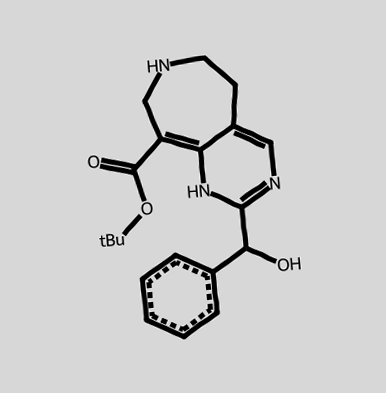 CC(C)(C)OC(=O)C1=C2NC(C(O)c3ccccc3)=NC=C2CCNC1